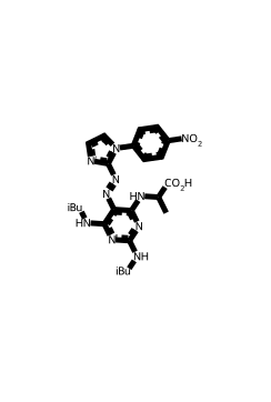 CCC(C)Nc1nc(NC(C)CC)c(N=Nc2nccn2-c2ccc([N+](=O)[O-])cc2)c(NC(C)C(=O)O)n1